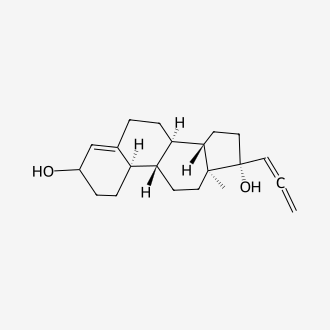 C=C=C[C@]1(O)CC[C@H]2[C@@H]3CCC4=CC(O)CC[C@@H]4[C@H]3CC[C@@]21C